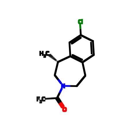 C[C@H]1CN(C(=O)C(F)(F)F)CCc2ccc(Cl)cc21